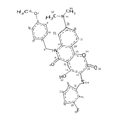 COc1ccc(Cn2c(=O)c3c(O)c(Sc4cccc(F)c4)c(=O)oc3c3ccc(N(C)C)cc32)cc1